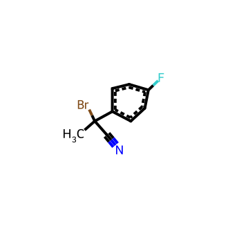 CC(Br)(C#N)c1ccc(F)cc1